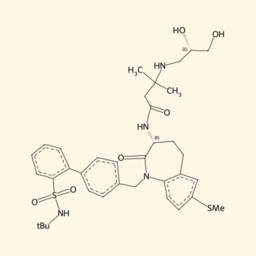 CSc1ccc2c(c1)CC[C@@H](NC(=O)CC(C)(C)NC[C@H](O)CO)C(=O)N2Cc1ccc(-c2ccccc2S(=O)(=O)NC(C)(C)C)cc1